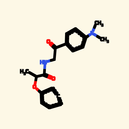 CC(Oc1ccccc1)C(=O)NCC(=O)c1ccc(N(C)C)cc1